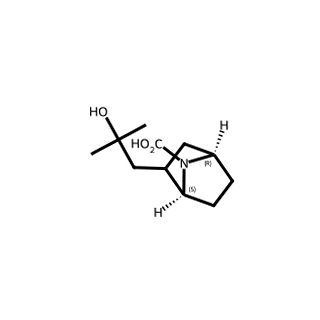 CC(C)(O)CC1C[C@H]2CC[C@@H]1N2C(=O)O